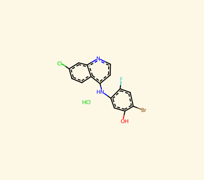 Cl.Oc1cc(Nc2ccnc3cc(Cl)ccc23)c(F)cc1Br